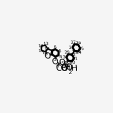 O=C(O)C(Oc1cccc2c1OC1CCCC21)OS(=O)(=O)c1ccc(-c2ccccc2)cc1